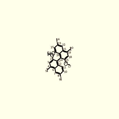 COc1cc(I)c2cc(I)ccc2c1-c1c(OC)cc(I)c2cc(I)cc(O)c12